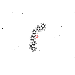 CC1(C)c2ccccc2-c2ccc(-c3cccc(C(=O)c4cccc(-c5ccc6c(c5)C(C)(C)C5C=CC=CC65)c4)c3)cc21